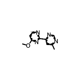 COc1c[c]nc(-c2cc(C)ncn2)n1